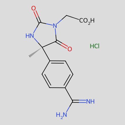 C[C@]1(c2ccc(C(=N)N)cc2)NC(=O)N(CC(=O)O)C1=O.Cl